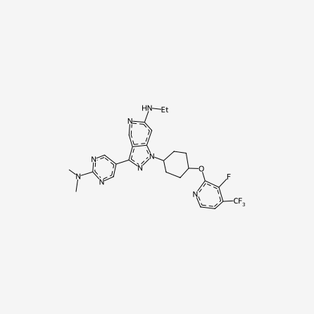 CCNc1cc2c(cn1)c(-c1cnc(N(C)C)nc1)nn2C1CCC(Oc2nccc(C(F)(F)F)c2F)CC1